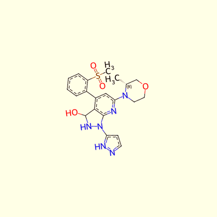 C[C@@H]1COCCN1c1cc(-c2ccccc2S(C)(=O)=O)c2c(n1)N(c1ccn[nH]1)NC2O